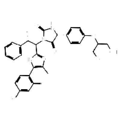 Cc1nc(C([C@@H](C)c2ccccc2)N2C(=O)N[C@H](c3ccc(OC(CO)CO)cc3)C2=O)[nH]c1-c1ccc(Br)cc1F